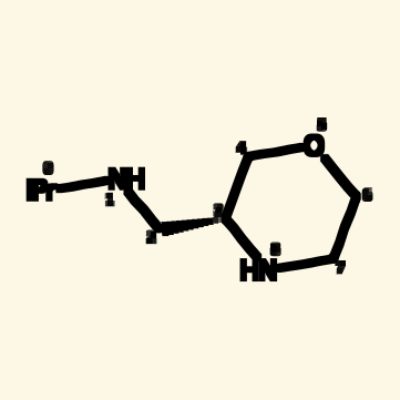 CC(C)NC[C@@H]1COCCN1